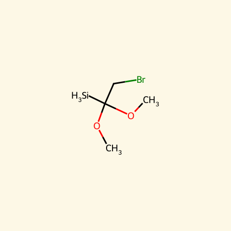 COC([SiH3])(CBr)OC